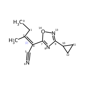 CC/C(C)=C(/C#N)c1nc(C2CC2)no1